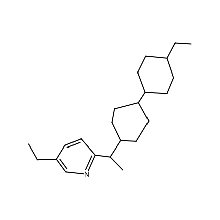 CCc1ccc(C(C)C2CCC(C3CCC(CC)CC3)CC2)nc1